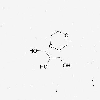 C1COCCO1.OCC(O)CO